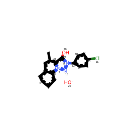 Cc1cc2ccccc2[n+]2nn(-c3ccc(Cl)cc3)c(O)c12.[OH-]